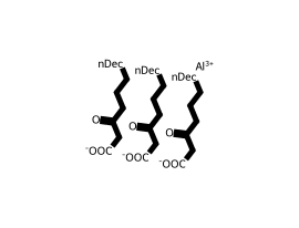 CCCCCCCCCCCCCC(=O)CC(=O)[O-].CCCCCCCCCCCCCC(=O)CC(=O)[O-].CCCCCCCCCCCCCC(=O)CC(=O)[O-].[Al+3]